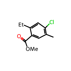 CCc1cc(Cl)c(C)cc1C(=O)OC